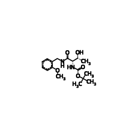 COc1ccccc1CNC(=O)[C@@H](NC(=O)OC(C)(C)C)[C@@H](C)O